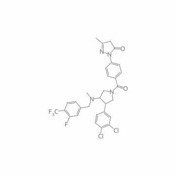 CC1=NN(c2ccc(C(=O)N3CC(c4ccc(Cl)c(Cl)c4)C(N(C)Cc4ccc(C(F)(F)F)c(F)c4)C3)cc2)C(=O)C1